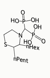 CCCCCCC1C(CCCCC)SCCN1C(P(=O)(O)O)P(=O)(O)O